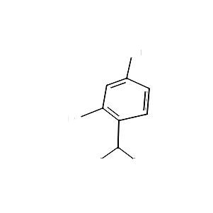 Cc1ccc(C(I)I)c(C)c1